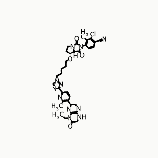 CCN1C(=O)CNc2ncc(-c3ccc(-c4ncn(CCCCCO[C@@H]5CCN6C(=O)N(c7ccc(C#N)c(Cl)c7C)C(=O)[C@H]56)n4)nc3C)nc21